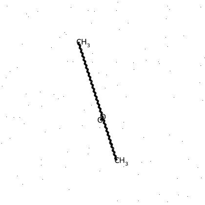 CCCCCCCCC=CCCCCCCCCCCCC(=O)OCCCCCCCCCCCCCCCCCCCCCCCCCCCCCCCCCCCCCC